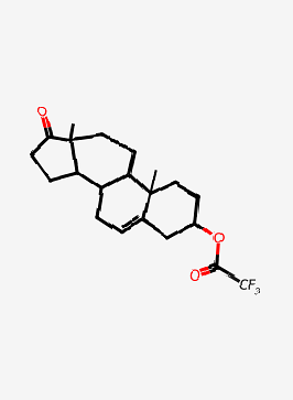 CC12CCC3C(CC=C4CC(OC(=O)C(F)(F)F)CCC43C)C1CCC2=O